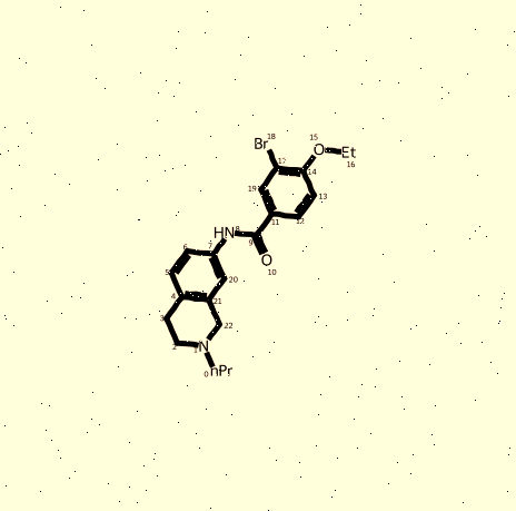 CCCN1CCc2ccc(NC(=O)c3ccc(OCC)c(Br)c3)cc2C1